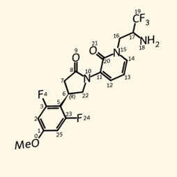 COc1cc(F)c([C@H]2CC(=O)N(c3cccn(CC(N)C(F)(F)F)c3=O)C2)c(F)c1